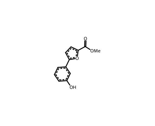 COC(=O)c1ccc(-c2cccc(O)c2)o1